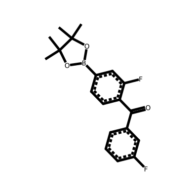 CC1(C)OB(c2ccc(C(=O)c3cccc(F)c3)c(F)c2)OC1(C)C